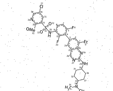 CCc1cc(-c2c(F)ccc(NS(=O)(=O)c3cc(Cl)cnc3OC)c2F)cc2cnc(NC3CCC(N(C)C)CC3)nc12